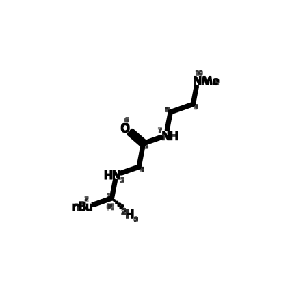 [2H][C@H](CCCC)NCC(=O)NCCNC